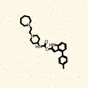 Cc1ccc(-c2cccc3[nH]c(OC(=O)NC4CCN(CCN5CCCCCC5)CC4)cc23)cc1